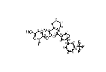 O=C(O)CC(NC(=O)C1CCCCN1C(=O)c1coc(-c2cccc(C(F)(F)F)c2)c1)C(=O)CF